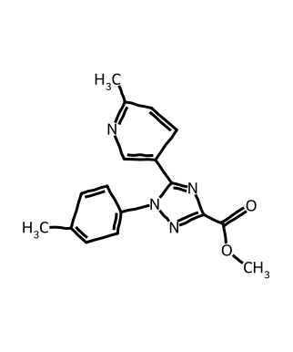 COC(=O)c1nc(-c2ccc(C)nc2)n(-c2ccc(C)cc2)n1